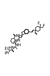 C=CC1(/C=C/c2ccc3c(c2)C(CC(C)NC(=C)C2CCCN(NC(C)NC(=C)C(CC)C(C)C)N2)C3)CCC(CF)(CF)CC1